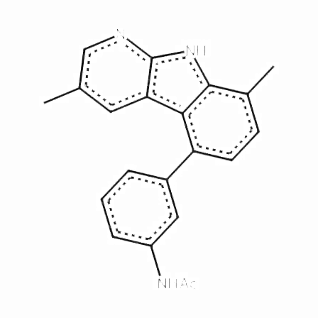 CC(=O)Nc1cccc(-c2ccc(C)c3[nH]c4ncc(C)cc4c23)c1